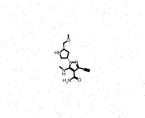 C#Cc1nn([C@@H]2CN[C@@H](COC)C2)c(NC)c1C(N)=O